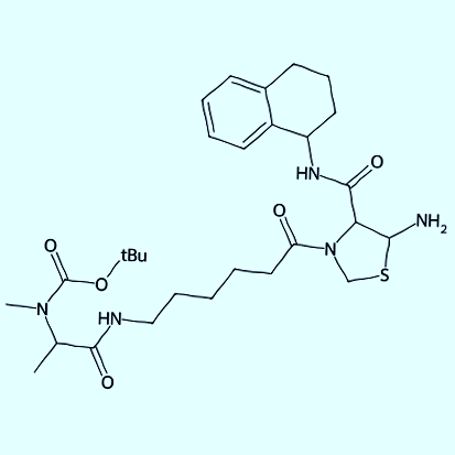 CC(C(=O)NCCCCCC(=O)N1CSC(N)C1C(=O)NC1CCCc2ccccc21)N(C)C(=O)OC(C)(C)C